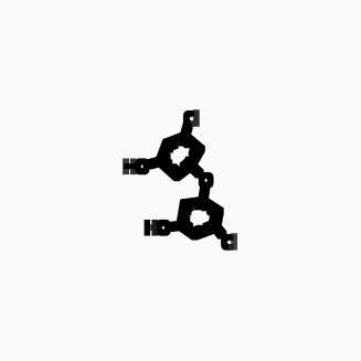 Oc1cc(Cl)cc(Oc2cc(O)cc(Cl)c2)c1